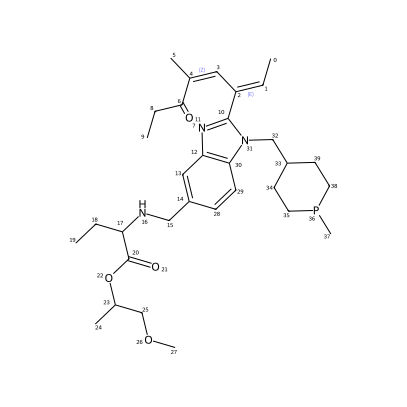 C/C=C(\C=C(\C)C(=O)CC)c1nc2cc(CNC(CC)C(=O)OC(C)COC)ccc2n1CC1CCP(C)CC1